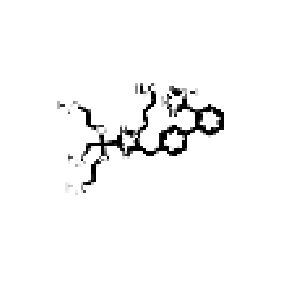 CCCCn1nc(C(CC)(OCCC)OCCC)nc1Cc1ccc(-c2ccccc2-c2nnn[nH]2)cc1